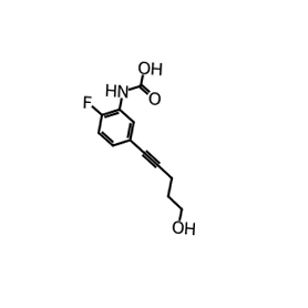 O=C(O)Nc1cc(C#CCCCO)ccc1F